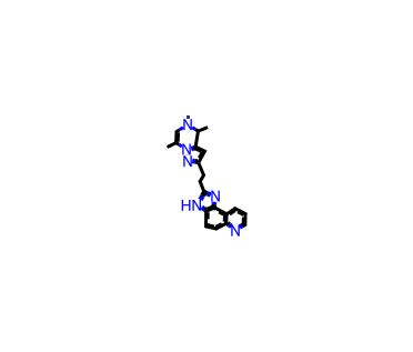 CC1=CN(C)C(C)c2cc(CCc3nc4c(ccc5ncccc54)[nH]3)nn21